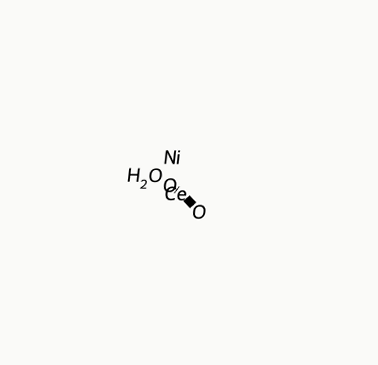 O.[Ni].[O]=[Ce]=[O]